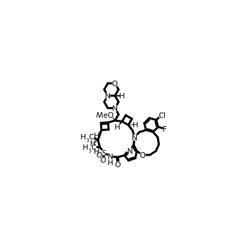 CO[C@@]1(CN2CCN3CCOC[C@@H]3C2)C2=C[C@@H](C2)[C@H](C)[C@@H](C)S(=O)(=O)NC(=O)c2ccc3c(n2)N(Cc2ccc(Cl)c(F)c2CCCCO3)C[C@@H]2CC[C@H]21